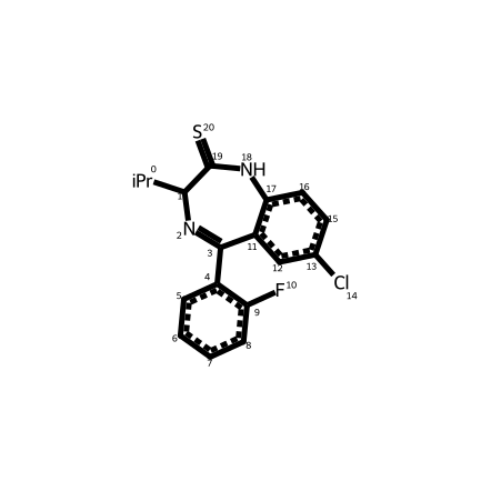 CC(C)C1N=C(c2ccccc2F)c2cc(Cl)ccc2NC1=S